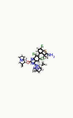 C=C1CN2CCC[C@@]2(COc2nc(N3C[C@@H]4CC[C@](C5CC5)(C3)N4)c3cc(Cl)c(-c4ccc(F)c5sc(N)c(C#N)c45)c(F)c3n2)C1